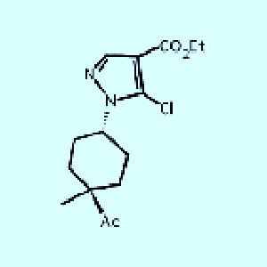 CCOC(=O)c1cnn([C@H]2CC[C@](C)(C(C)=O)CC2)c1Cl